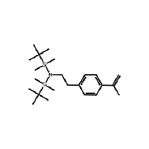 C=C(C)c1ccc(CCN([Si](C)(C)C(C)(C)C)[Si](C)(C)C(C)(C)C)cc1